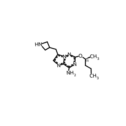 CCC[C@H](C)Oc1nc(N)c2ncc(CC3CNC3)n2n1